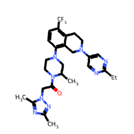 CCc1ncc(N2CCc3c(C(F)(F)F)ccc(N4CCN(C(=O)Cn5nc(C)nc5C)C(C)C4)c3C2)cn1